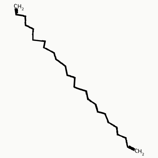 C=CCCCCCCCCCCCCCCCCCCCCCC=C